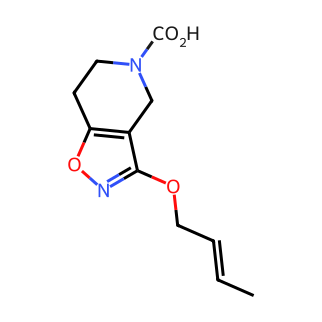 CC=CCOc1noc2c1CN(C(=O)O)CC2